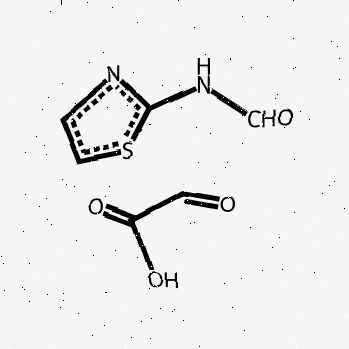 O=CC(=O)O.O=CNc1nccs1